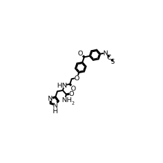 NC(=O)C(Cc1c[nH]cn1)NC(=O)COc1ccc(C(=O)c2ccc(N=C=S)cc2)cc1